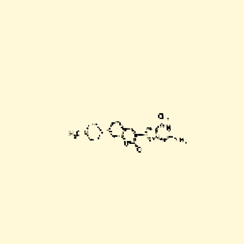 Cc1cn2cc(-c3cc4ccc(N5CCN(C)CC5)cc4oc3=O)cc2c(C)n1